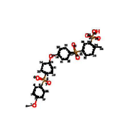 COc1ccc(S(=O)(=O)c2ccc(Oc3ccc(S(=O)(=O)c4ccc(C)c(S(=O)(=O)O)c4)cc3)cc2)cc1